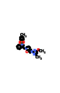 COc1cc(C)nc(N2CCC3(CCCN(Cc4cn(S(=O)(=O)c5ccc(C)cc5)c5ccccc45)C3=O)C2)n1